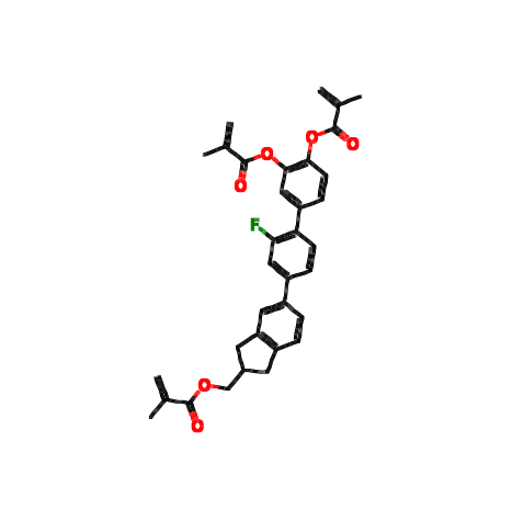 C=C(C)C(=O)OCC1Cc2ccc(-c3ccc(-c4ccc(OC(=O)C(=C)C)c(OC(=O)C(=C)C)c4)c(F)c3)cc2C1